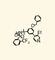 CCc1cnccc1-c1cc(OCc2ccccc2)cc(C(C)(C)NS(=O)(=O)c2ccccc2C(F)(F)F)c1